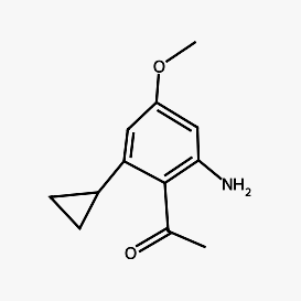 COc1cc(N)c(C(C)=O)c(C2CC2)c1